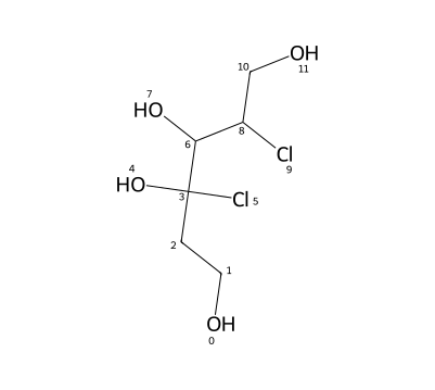 OCCC(O)(Cl)C(O)C(Cl)CO